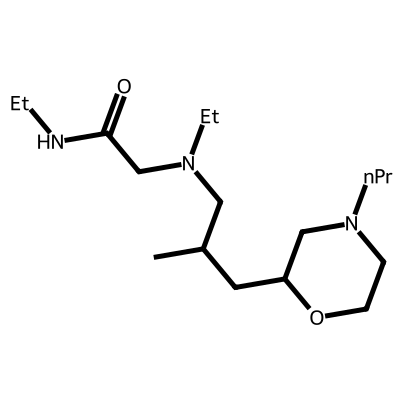 CCCN1CCOC(CC(C)CN(CC)CC(=O)NCC)C1